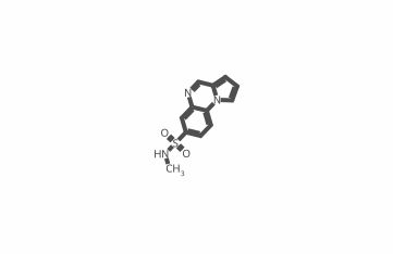 CNS(=O)(=O)c1ccc2c(c1)ncc1cccn12